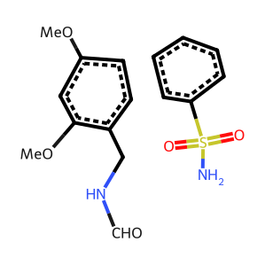 COc1ccc(CNC=O)c(OC)c1.NS(=O)(=O)c1ccccc1